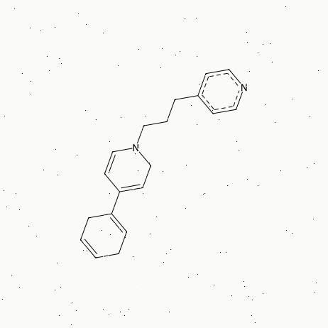 C1=CCC(C2=CCN(CCCc3ccncc3)C=C2)=CC1